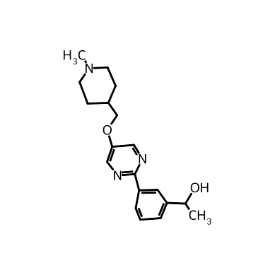 CC(O)c1cccc(-c2ncc(OCC3CCN(C)CC3)cn2)c1